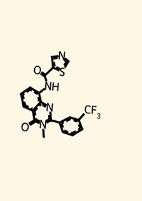 Cn1c(-c2cccc(C(F)(F)F)c2)nc2c(NC(=O)c3cncs3)cccc2c1=O